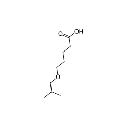 CC(C)COCCCCC(=O)O